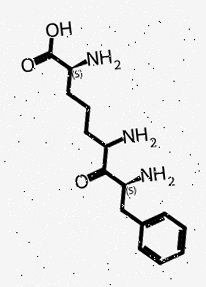 NC(CCC[C@H](N)C(=O)O)C(=O)[C@@H](N)Cc1ccccc1